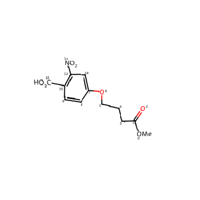 COC(=O)CCCOc1ccc(C(=O)O)c([N+](=O)[O-])c1